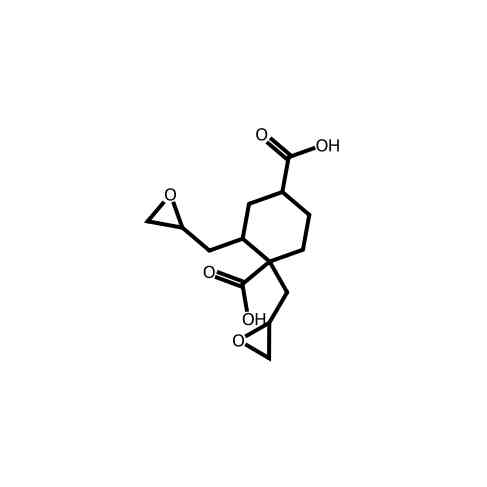 O=C(O)C1CCC(CC2CO2)(C(=O)O)C(CC2CO2)C1